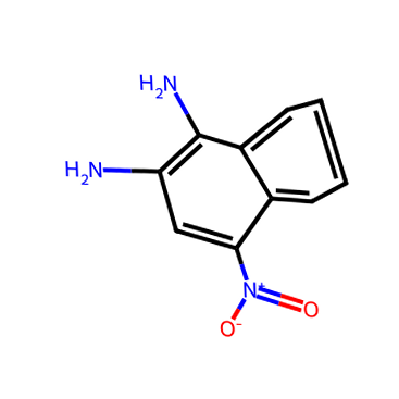 Nc1cc([N+](=O)[O-])c2ccccc2c1N